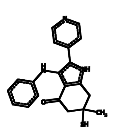 CC1(S)CC(=O)c2c([nH]c(-c3ccncc3)c2Nc2ccccc2)C1